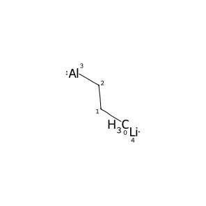 CC[CH2][Al].[Li]